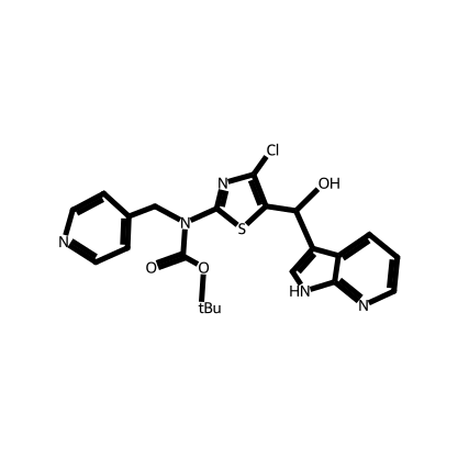 CC(C)(C)OC(=O)N(Cc1ccncc1)c1nc(Cl)c(C(O)c2c[nH]c3ncccc23)s1